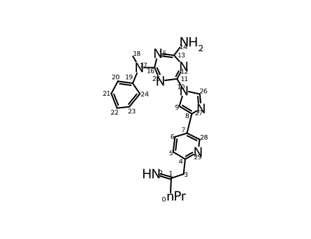 CCCC(=N)Cc1ccc(-c2cn(-c3nc(N)nc(N(C)c4ccccc4)n3)cn2)cn1